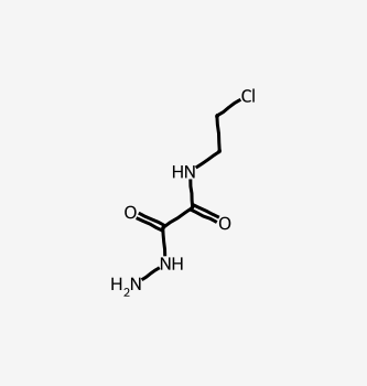 NNC(=O)C(=O)NCCCl